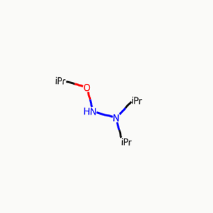 CC(C)ONN(C(C)C)C(C)C